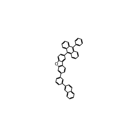 c1ccc(-c2c3ccccc3c(-c3ccc4oc5cc(-c6cccc(-c7ccc8ccccc8c7)c6)ccc5c4c3)c3ccccc23)cc1